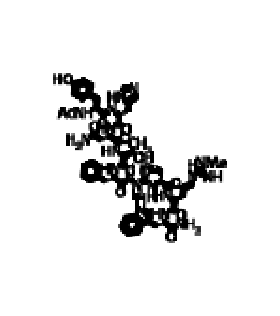 CNC(=N)NCCC[C@H](NC(=O)[C@H](CC(C)C)NC(=O)NNC(=O)[C@H](Cc1ccccc1)NC(=O)[C@@H](NC(=O)[C@H](CC(N)=O)NC(=O)[C@@H](Cc1cnc[nH]1)NC(=O)[C@@H](Cc1ccc(O)cc1)NC(C)=O)[C@@H](C)O)C(=O)N[C@@H](Cc1c[nH]c2ccccc12)C(N)=O